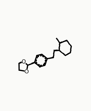 CC1CCCCC1CCc1ccc(C2OCCO2)cc1